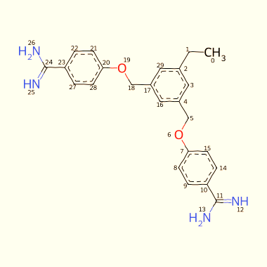 CCc1cc(COc2ccc(C(=N)N)cc2)cc(COc2ccc(C(=N)N)cc2)c1